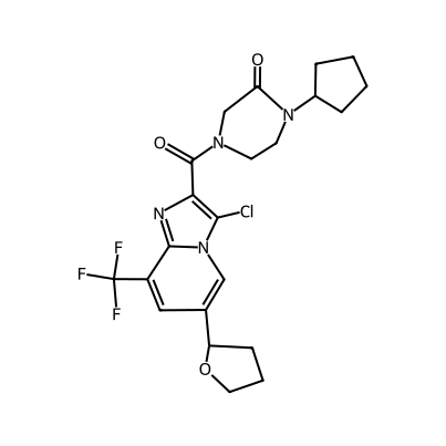 O=C(c1nc2c(C(F)(F)F)cc(C3CCCO3)cn2c1Cl)N1CCN(C2CCCC2)C(=O)C1